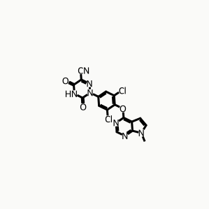 Cn1ccc2c(Oc3c(Cl)cc(-n4nc(C#N)c(=O)[nH]c4=O)cc3Cl)ncnc21